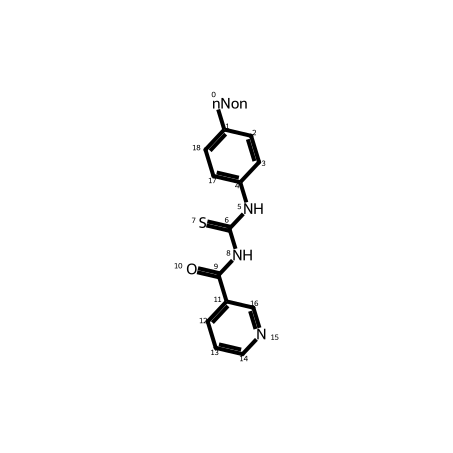 CCCCCCCCCc1ccc(NC(=S)NC(=O)c2cccnc2)cc1